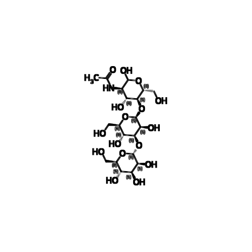 CC(=O)N[C@H]1C(O)O[C@H](CO)[C@@H](O[C@@H]2O[C@H](CO)[C@@H](O)[C@H](O[C@H]3O[C@H](CO)[C@@H](O)[C@H](O)[C@@H]3O)[C@@H]2O)[C@@H]1O